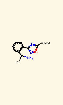 CCCCCCCc1nc(-c2ccccc2C(N)CC)no1